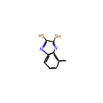 Cc1cccc2nc(S)c(S)nc12